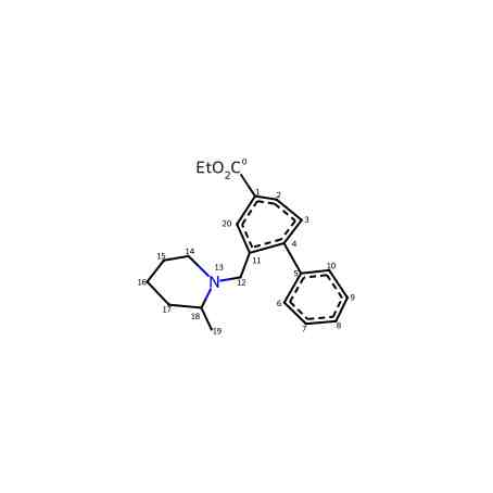 CCOC(=O)c1ccc(-c2ccccc2)c(CN2CCCCC2C)c1